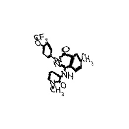 Cc1ccc2c(Nc3cccn(C)c3=O)nn(-c3ccc(OC(F)(F)F)cc3)c(=O)c2c1